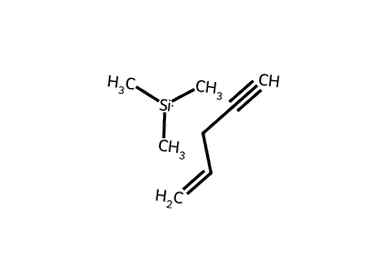 C#CCC=C.C[Si](C)C